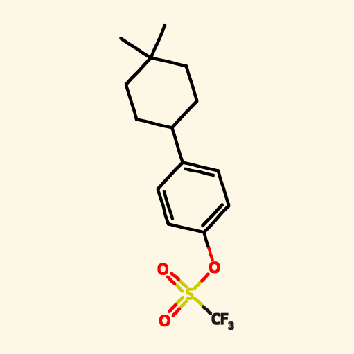 CC1(C)CCC(c2ccc(OS(=O)(=O)C(F)(F)F)cc2)CC1